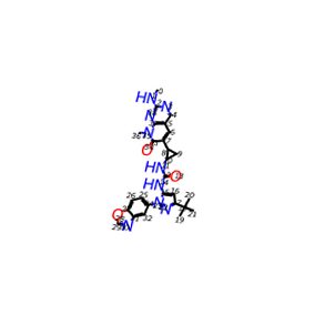 CNc1ncc2cc(C3CC3NC(=O)Nc3cc(C(C)(C)C)nn3-c3ccc4ocnc4c3)c(=O)n(C)c2n1